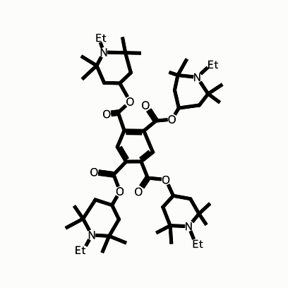 CCN1C(C)(C)CC(OC(=O)c2cc(C(=O)OC3CC(C)(C)N(CC)C(C)(C)C3)c(C(=O)OC3CC(C)(C)N(CC)C(C)(C)C3)cc2C(=O)OC2CC(C)(C)N(CC)C(C)(C)C2)CC1(C)C